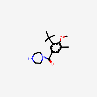 COc1c(C)cc(C(=O)N2CCNCC2)cc1C(C)(C)C